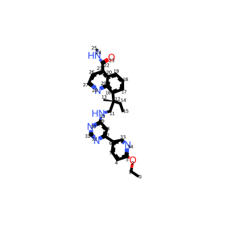 CCOc1ccc(-c2cc(NC[C@@](C)(CC)c3cccc4c(C(=O)NC)ccnc34)ncn2)cn1